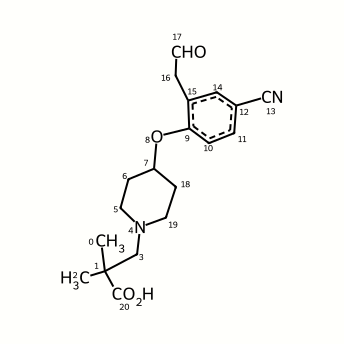 CC(C)(CN1CCC(Oc2ccc(C#N)cc2CC=O)CC1)C(=O)O